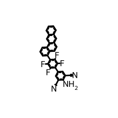 N#Cc1cc(-c2c(F)c(F)c(-c3cccc4c3ccc3cc5ccccc5cc34)c(F)c2F)cc(C#N)c1N